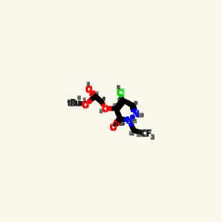 CC(C)(C)OC(=O)COc1c(Cl)cnn(CC(F)(F)F)c1=O